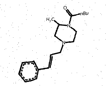 CCCCC(=O)N1CCN(CC=Cc2ccccc2)CC1C